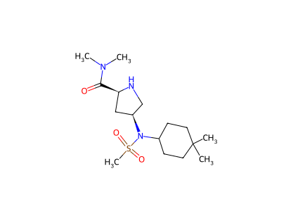 CN(C)C(=O)[C@@H]1C[C@H](N(C2CCC(C)(C)CC2)S(C)(=O)=O)CN1